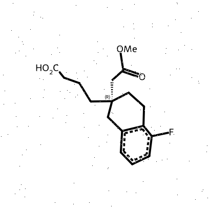 COC(=O)C[C@]1(CCCC(=O)O)CCc2c(F)cccc2C1